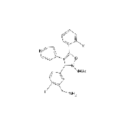 CC(=O)NN1OC(c2ccccc2Cl)=C(c2ccncc2)C1c1ccc(F)c(CN)c1